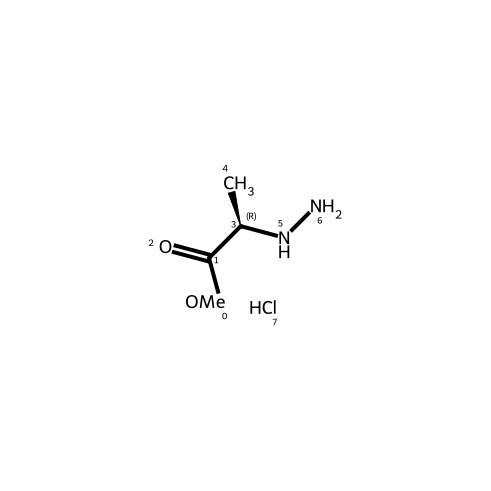 COC(=O)[C@@H](C)NN.Cl